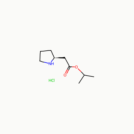 CC(C)OC(=O)C[C@@H]1CCCN1.Cl